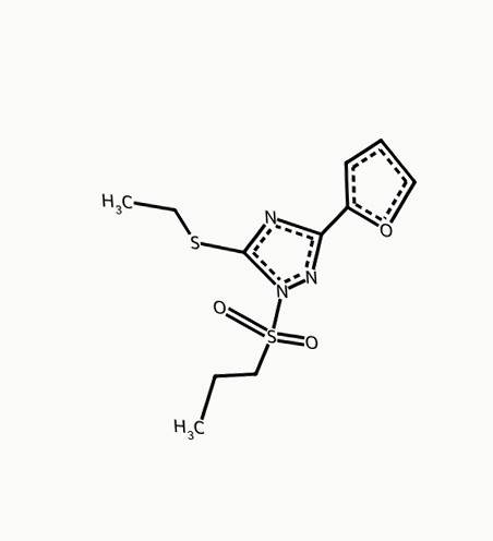 CCCS(=O)(=O)n1nc(-c2ccco2)nc1SCC